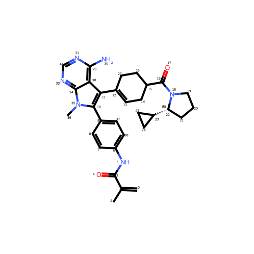 C=C(C)C(=O)Nc1ccc(-c2c(C3=CCC(C(=O)N4CCC[C@@H]4C4CC4)CC3)c3c(N)ncnc3n2C)cc1